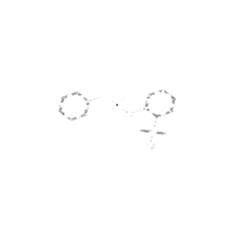 CCC(C)(Nc1ccccc1S(N)(=O)=O)Sc1ccccc1